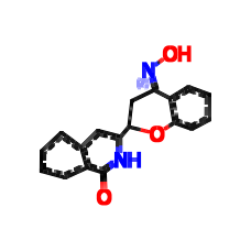 O=c1[nH]c(C2C/C(=N/O)c3ccccc3O2)cc2ccccc12